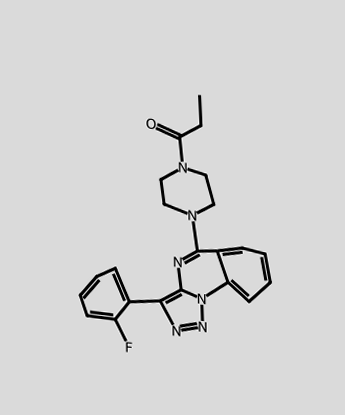 CCC(=O)N1CCN(c2nc3c(-c4ccccc4F)nnn3c3ccccc23)CC1